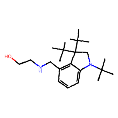 CC(C)(C)N1CC(C(C)(C)C)(C(C)(C)C)c2c(CNCCO)cccc21